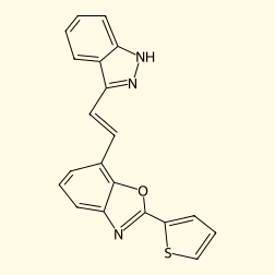 C(=Cc1cccc2nc(-c3cccs3)oc12)c1n[nH]c2ccccc12